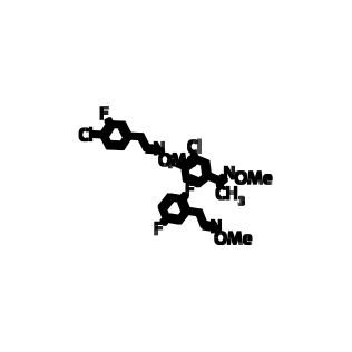 CON=C(C)c1ccc(F)c(Cl)c1.CON=CCc1cc(F)ccc1F.CON=CCc1ccc(Cl)c(F)c1